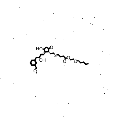 CCCCCOCCOC(=O)CCCSCC[C@H]1C(=O)C[C@@H](O)[C@@H]1C=C[C@@H](O)Cc1cccc(COC)c1